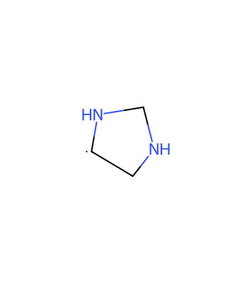 [CH]1CNCN1